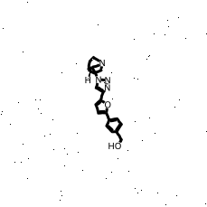 OCc1ccc(-c2ccc(-c3cn([C@H]4CN5CCC4CC5)nn3)o2)cc1